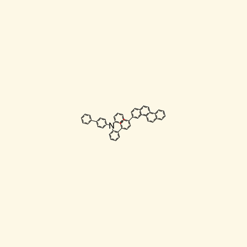 c1ccc(-c2ccc(N(c3ccccc3)c3ccccc3-c3ccc(-c4ccc5ccc6c7ccccc7ccc6c5c4)cc3)cc2)cc1